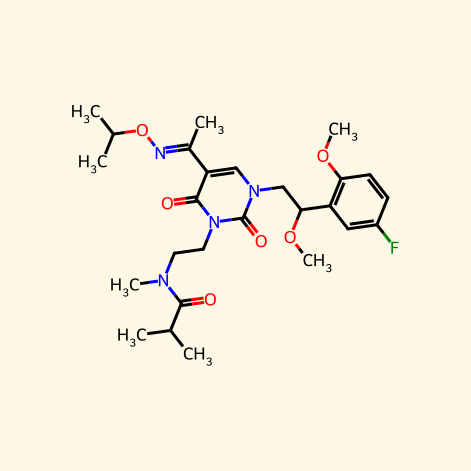 COc1ccc(F)cc1C(Cn1cc(/C(C)=N/OC(C)C)c(=O)n(CCN(C)C(=O)C(C)C)c1=O)OC